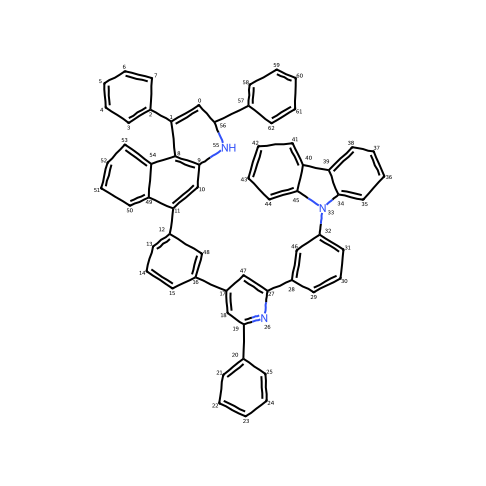 C1=C(c2ccccc2)c2c(cc(-c3cccc(-c4cc(-c5ccccc5)nc(-c5cccc(-n6c7ccccc7c7ccccc76)c5)c4)c3)c3ccccc23)NC1c1ccccc1